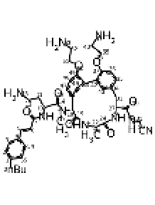 CCCCc1ccc(/C=C/C(=O)N[C@@H](CCN)C(=O)N(C)[C@@H]2C(=O)N[C@@H](C)C(=O)N[C@H](C(=O)NCC#N)Cc3ccc(OCCN)c(c3)-c3cc2ccc3OCCN)cc1